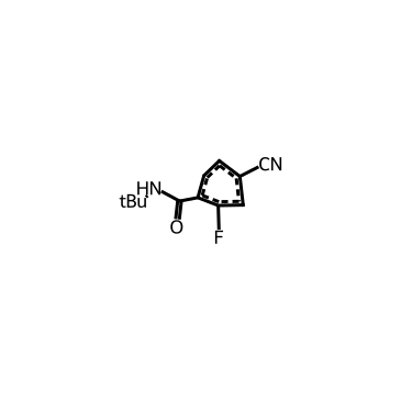 CC(C)(C)NC(=O)c1ccc(C#N)cc1F